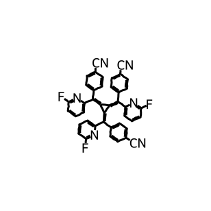 N#Cc1ccc(C(=C2C(=C(c3ccc(C#N)cc3)c3cccc(F)n3)C2=C(c2ccc(C#N)cc2)c2cccc(F)n2)c2cccc(F)n2)cc1